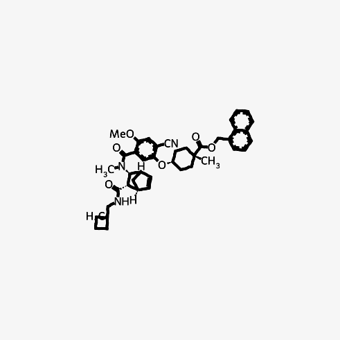 COc1cc(C#N)c(O[C@H]2CC[C@@](C)(C(=O)OCc3cccc4ccccc34)CC2)cc1C(=O)N(C)[C@H]1[C@@H](C(=O)NCC2(C)CCC2)[C@@H]2C=C[C@H]1C2